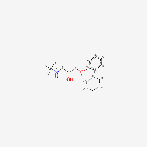 CC(C)(C)NCC(O)COc1ccccc1C1CCCCC1